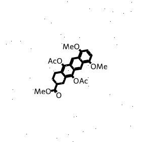 COC(=O)C1CCc2c(c(OC(C)=O)c3cc4c(OC)ccc(OC)c4cc3c2OC(C)=O)C1